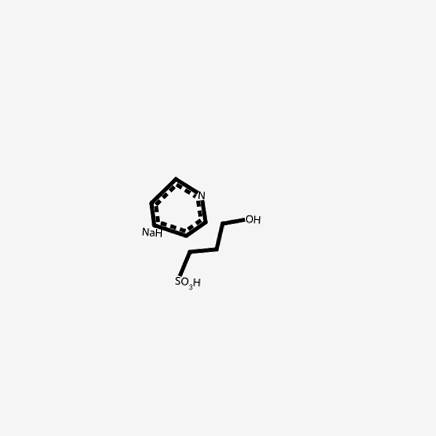 O=S(=O)(O)CCCO.[NaH].c1ccncc1